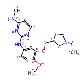 CCN1CCC(COc2cc(Nc3nccc(NC)n3)ccc2OC)C1